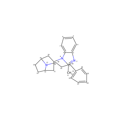 Cc1nc2ccccc2n1C1CC2CCC(C1)N2CCCc1ccccc1